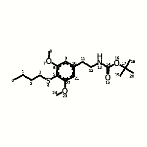 CCCCSc1c(OC)cc(CCNC(=O)OC(C)(C)C)cc1OC